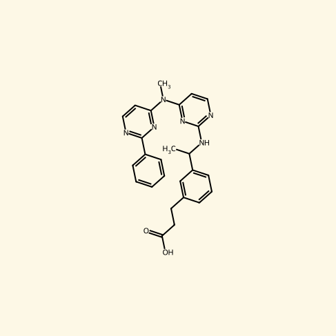 CC(Nc1nccc(N(C)c2ccnc(-c3ccccc3)n2)n1)c1cccc(CCC(=O)O)c1